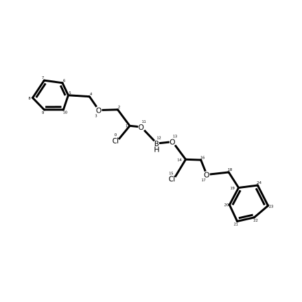 ClC(COCc1ccccc1)OBOC(Cl)COCc1ccccc1